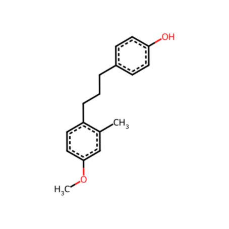 COc1ccc(CCCc2ccc(O)cc2)c(C)c1